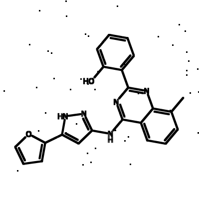 Cc1cccc2c(Nc3cc(-c4ccco4)[nH]n3)nc(-c3ccccc3O)nc12